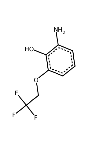 Nc1cccc(OCC(F)(F)F)c1O